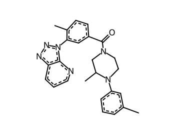 Cc1cccc(N2CCN(C(=O)c3ccc(C)c(-n4nnc5cccnc54)c3)CC2C)c1